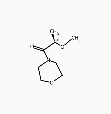 CO[C@H](C)C(=O)N1CCOCC1